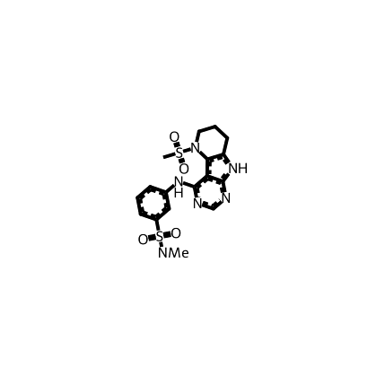 CNS(=O)(=O)c1cccc(Nc2ncnc3[nH]c4c(c23)N(S(C)(=O)=O)CCC4)c1